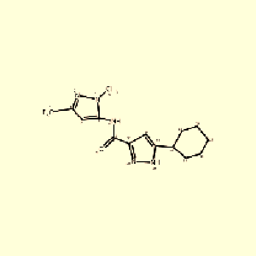 Cn1nc(C(F)(F)F)cc1NC(=O)c1cc(C2CCCCC2)[nH]n1